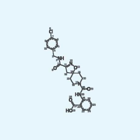 O=C(NCc1ccc(Cl)cc1)C1=NOC2(CCN(C(=O)Nc3ccccc3C(=O)O)CC2)C1